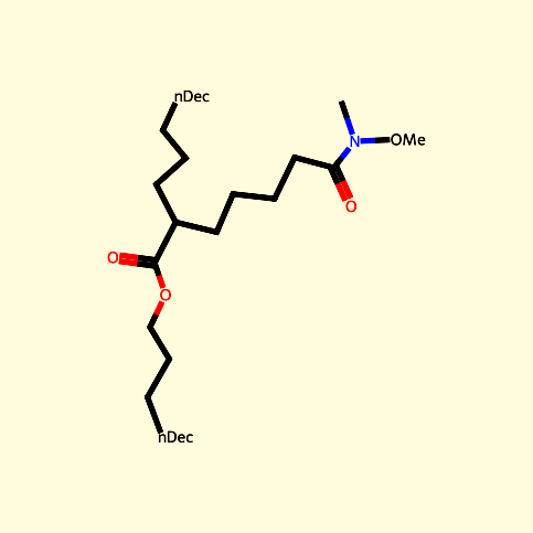 CCCCCCCCCCCCCOC(=O)C(CCCCCCCCCCCCC)CCCCC(=O)N(C)OC